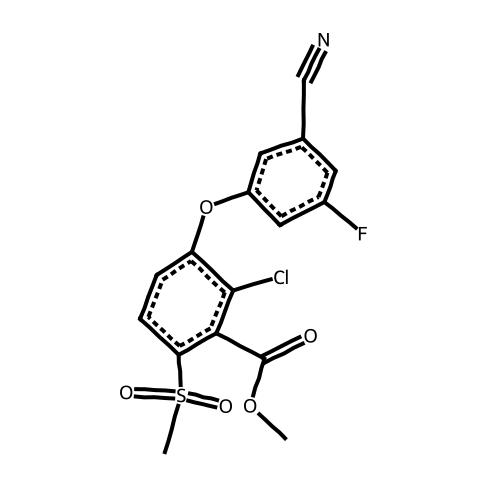 COC(=O)c1c(S(C)(=O)=O)ccc(Oc2cc(F)cc(C#N)c2)c1Cl